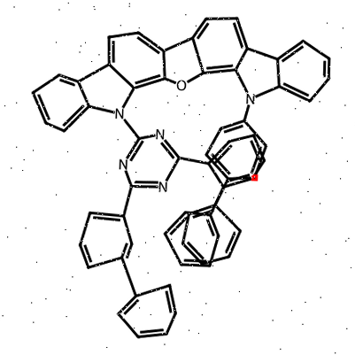 c1ccc(-c2ccc(-n3c4ccccc4c4ccc5c6ccc7c8ccccc8n(-c8nc(-c9cccc(-c%10ccccc%10)c9)nc(-c9ccccc9-c9ccccc9)n8)c7c6oc5c43)cc2)cc1